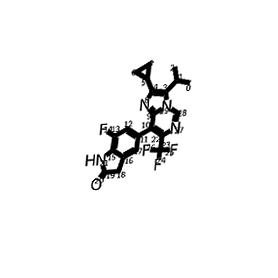 CC(C)c1c(C2CC2)nc2c(-c3cc(F)c4c(c3)CC(=O)N4)c(C(F)(F)F)ncn12